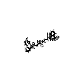 CN1CCN(c2ncccc2-c2noc(CCC(=O)NCCCNc3n[nH]c(=O)c4ccccc34)n2)CC1